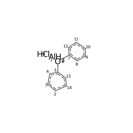 Cl.[AlH3].c1ccc(Oc2ccccc2)cc1